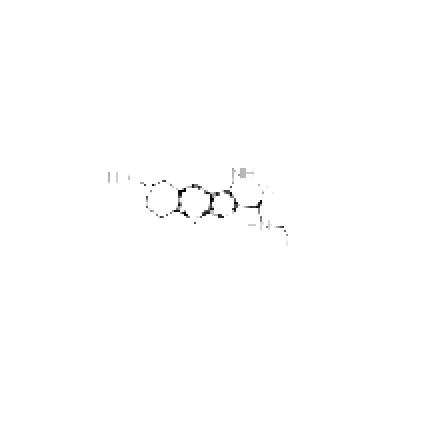 CCNC(=O)c1sc2nc3c(cc2c1N)CN(C)CC3